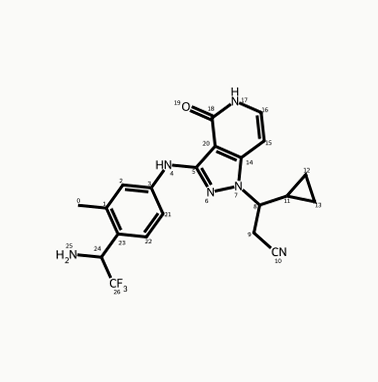 Cc1cc(Nc2nn(C(CC#N)C3CC3)c3cc[nH]c(=O)c23)ccc1C(N)C(F)(F)F